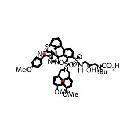 COc1ccc(CN(Cc2ccc(OC)cc2)S(=O)(=O)c2c(S(=O)(=O)NC[C@@H](O)CN(C(=O)O)C(C)(C)C)ccc(-c3cccc4sc(C#N)nc34)c2-c2nnn(Cc3ccc(OC)cc3)n2)cc1